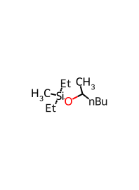 CCCCC(C)O[Si](C)(CC)CC